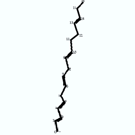 [CH2]C=CC=CCC=CCC=CCCC=CCC